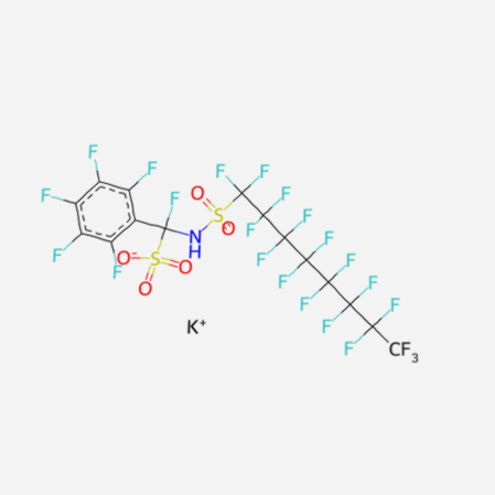 O=S(=O)([O-])C(F)(NS(=O)(=O)C(F)(F)C(F)(F)C(F)(F)C(F)(F)C(F)(F)C(F)(F)C(F)(F)C(F)(F)F)c1c(F)c(F)c(F)c(F)c1F.[K+]